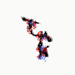 C=CCOC(=O)Nc1cc(OCCCCCOc2cc(NC(=O)OCc3ccc(NC(=O)C(CCCNC(N)=O)NC(=O)C4(C(=O)OCC=C)CCC4)cc3)c(C(=O)N3CC(=C)CC3CO[Si](C)(C)C(C)(C)C)cc2OC)c(OC)cc1C(=O)N1CC(=C)CC1CO[Si](C)(C)C(C)(C)C